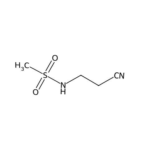 CS(=O)(=O)NCCC#N